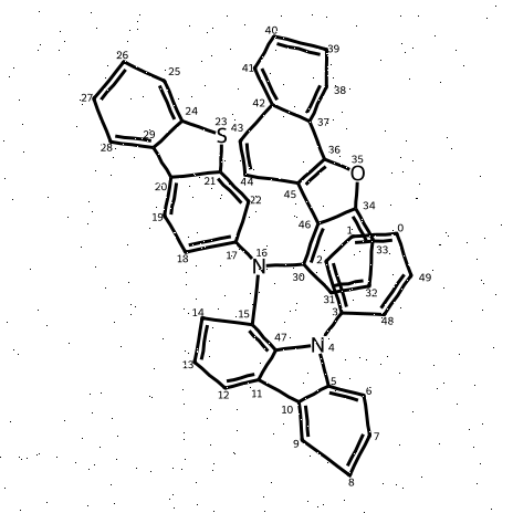 c1ccc(-n2c3ccccc3c3cccc(N(c4ccc5c(c4)sc4ccccc45)c4cccc5oc6c7ccccc7ccc6c45)c32)cc1